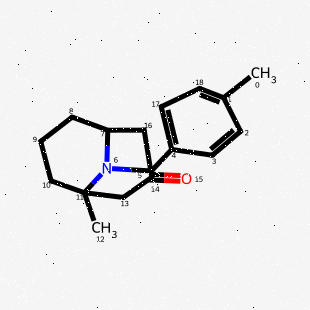 Cc1ccc(CN2C3CCCC2(C)CC(=O)C3)cc1